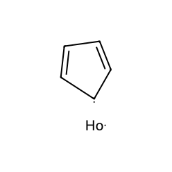 [CH]1C=CC=C1.[Ho]